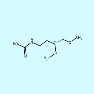 COC[C@@H](CCNC(=O)O)OC